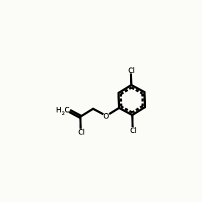 C=C(Cl)COc1cc(Cl)ccc1Cl